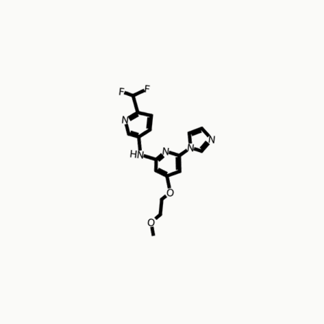 COCCOc1cc(Nc2ccc(C(F)F)nc2)nc(-n2ccnc2)c1